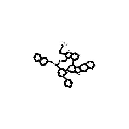 C=C/C=C\c1oc2cccc(-c3cccc4oc5cc6ccccc6cc5c34)c2c1/C=N/C(=N\Cc1ccc2ccccc2c1)c1ccc(-c2ccccc2)cc1